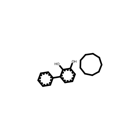 C1CCCCCCCC1.Oc1cccc(-c2ccccc2)c1O